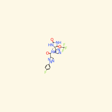 O=C1NC(=O)[C@@](CNC(=O)c2cnn(-c3ccc(F)cc3)n2)(c2ccnn2CC(F)(F)F)N1